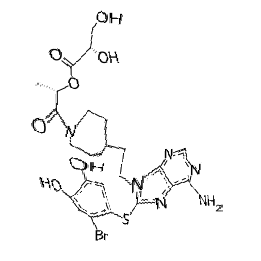 C[C@H](OC(=O)[C@@H](O)CO)C(=O)N1CCC(CCn2c(Sc3cc(O)c(O)cc3Br)nc3c(N)ncnc32)CC1